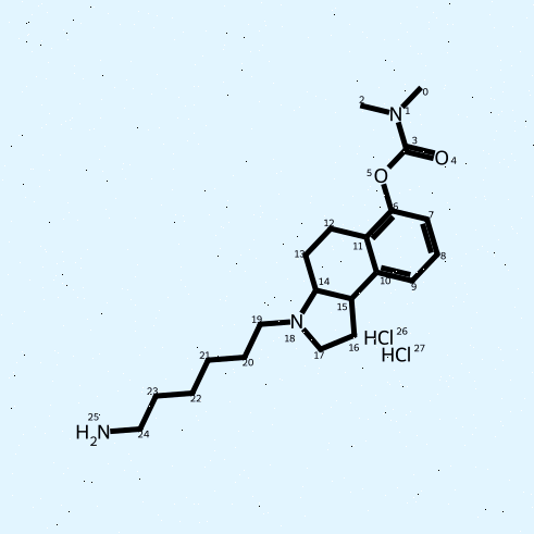 CN(C)C(=O)Oc1cccc2c1CCC1C2CCN1CCCCCCN.Cl.Cl